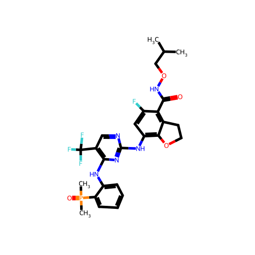 CC(C)CONC(=O)c1c(F)cc(Nc2ncc(C(F)(F)F)c(Nc3ccccc3P(C)(C)=O)n2)c2c1CCO2